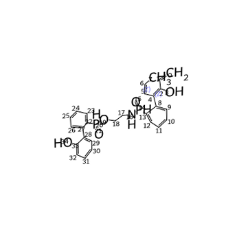 C=C/C(O)=C(\C=C/C)c1ccccc1[PH](=O)NCCO[PH](=O)c1ccccc1-c1ccccc1O